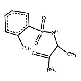 Cc1ccccc1S(=O)(=O)NC(C)C(N)=O